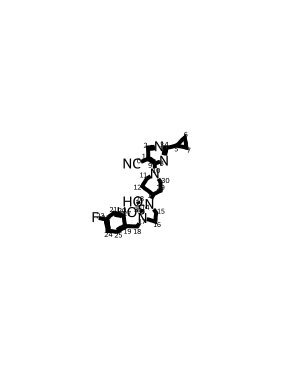 N#Cc1cnc(C2CC2)nc1N1CCC(N2CCN(Cc3ccc(F)cc3)S2(O)O)CC1